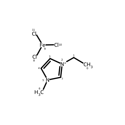 CC[n+]1ccn(C)c1.[Cl][Fe]([Cl])[Cl]